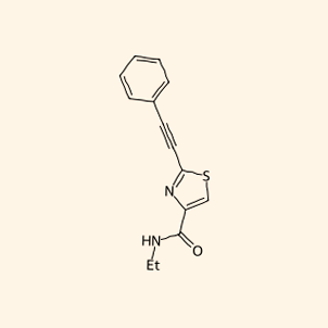 CCNC(=O)c1csc(C#Cc2ccccc2)n1